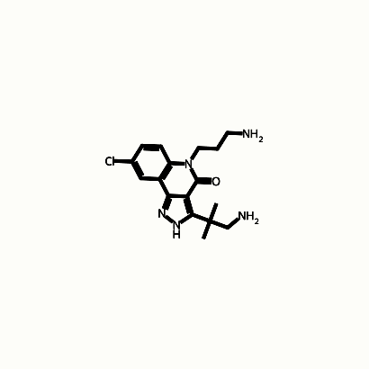 CC(C)(CN)c1[nH]nc2c1c(=O)n(CCCN)c1ccc(Cl)cc21